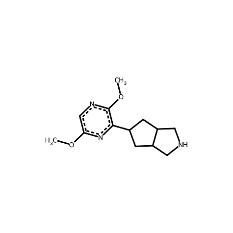 COc1cnc(OC)c(C2CC3CNCC3C2)n1